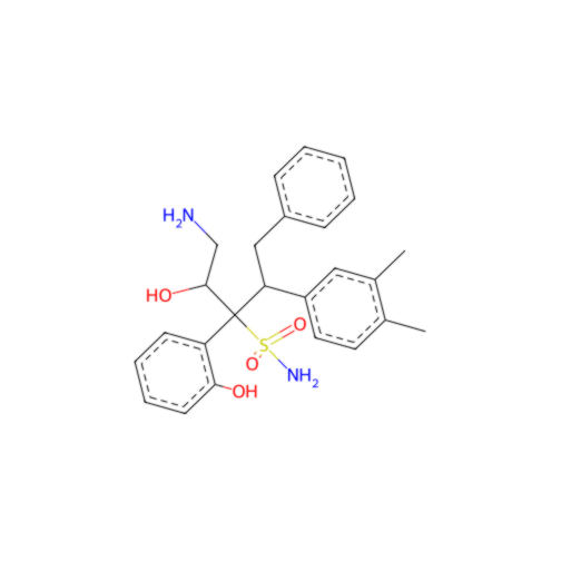 Cc1ccc(C(Cc2ccccc2)C(c2ccccc2O)(C(O)CN)S(N)(=O)=O)cc1C